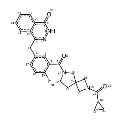 O=C(c1cc(Cc2n[nH]c(=O)c3ccccc23)ccc1F)N1CCC2(C1)CN(C(=O)C1CC1)C2